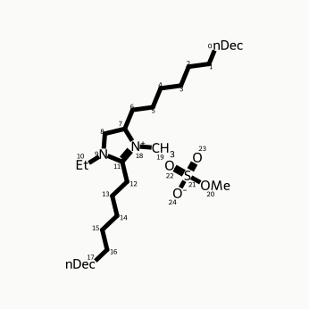 CCCCCCCCCCCCCCCCC1CN(CC)C(CCCCCCCCCCCCCCC)=[N+]1C.COS(=O)(=O)[O-]